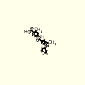 Cc1cc(NC(=O)c2cc3c(C)nn(C4CCOCC4)c3s2)cnc1C(=O)O